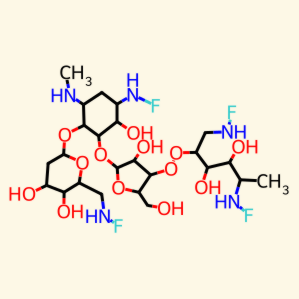 CNC1CC(NF)C(O)C(OC2OC(CO)C(OOC(CNF)C(O)C(O)C(C)NF)C2O)C1OC1CC(O)C(O)C(CNF)O1